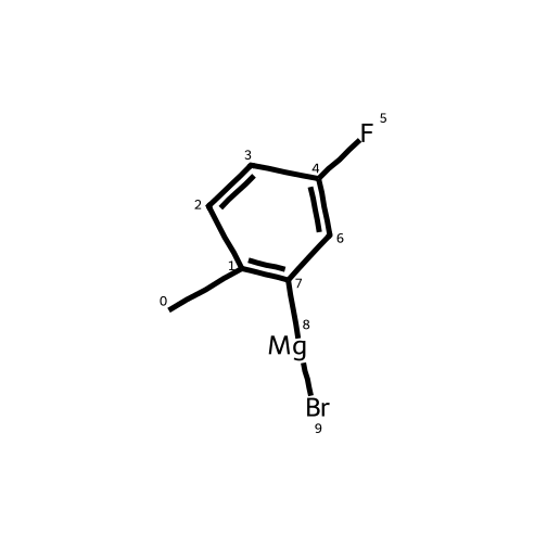 Cc1ccc(F)c[c]1[Mg][Br]